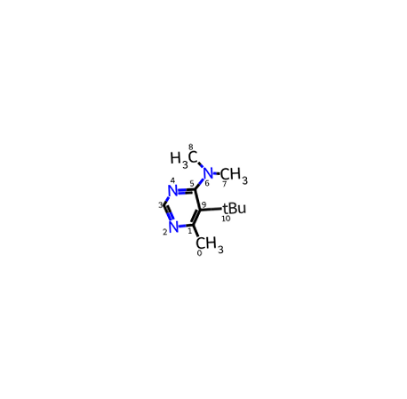 Cc1ncnc(N(C)C)c1C(C)(C)C